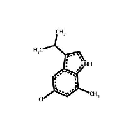 Cc1cc(Cl)cc2c(C(C)C)c[nH]c12